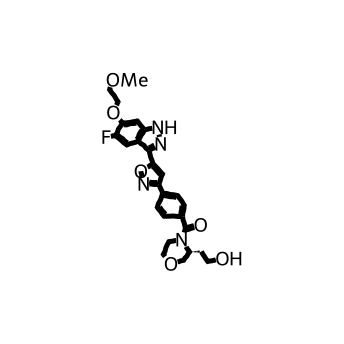 COCCOc1cc2[nH]nc(-c3cc(-c4ccc(C(=O)N5CCOC[C@H]5CCO)cc4)no3)c2cc1F